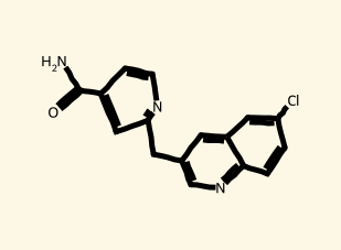 NC(=O)c1ccnc(Cc2cnc3ccc(Cl)cc3c2)c1